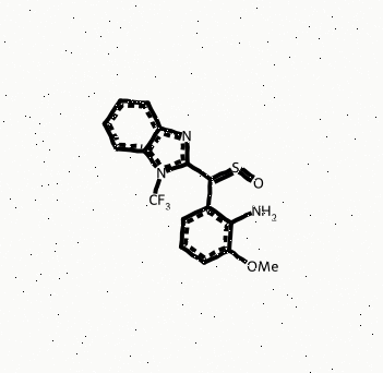 COc1cccc(C(=S=O)c2nc3ccccc3n2C(F)(F)F)c1N